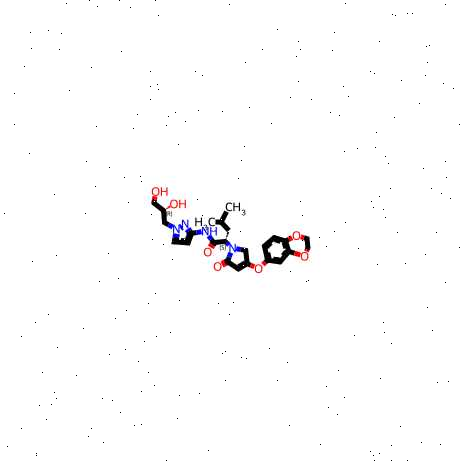 CC(C)C[C@@H](C(=O)Nc1ccn(C[C@@H](O)CO)n1)N1CC(Oc2ccc3c(c2)OCCO3)=CC1=O